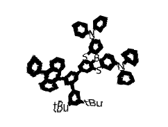 CC(C)(C)c1cc(-c2cc(-c3cc4c5c(c3)Sc3cc(N(c6ccccc6)c6ccccc6)ccc3B5c3ccc(N(c5ccccc5)c5ccccc5)cc3S4)cc(-c3c4ccccc4c(-c4ccccc4)c4ccccc34)c2)cc(C(C)(C)C)c1